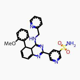 COc1ccccc1C1C=CC=C2N=C(c3cncc(S(N)(=O)=O)c3)N=C(NCc3ccccn3)C21